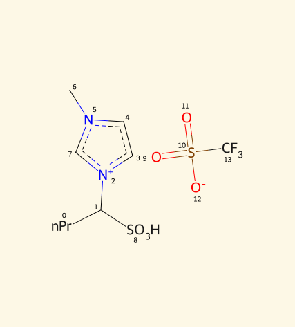 CCCC([n+]1ccn(C)c1)S(=O)(=O)O.O=S(=O)([O-])C(F)(F)F